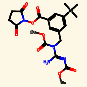 CC(C)(C)OC(=O)N=C(N)N(Cc1cc(C(=O)ON2C(=O)CCC2=O)c[c]([Sn]([CH3])([CH3])[CH3])c1)C(=O)OC(C)(C)C